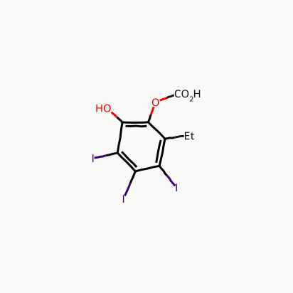 CCc1c(I)c(I)c(I)c(O)c1OC(=O)O